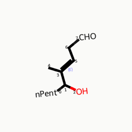 CCCCCC(O)/C(C)=C/CC=O